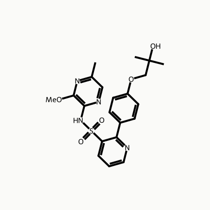 COc1nc(C)cnc1NS(=O)(=O)c1cccnc1-c1ccc(OCC(C)(C)O)cc1